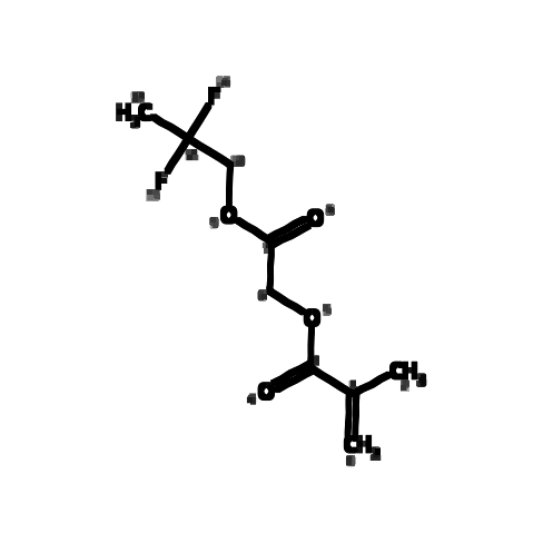 C=C(C)C(=O)OCC(=O)OCC(C)(F)F